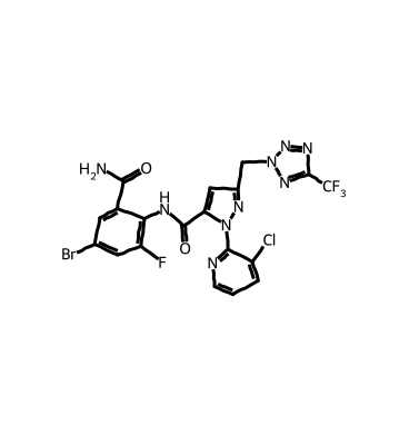 NC(=O)c1cc(Br)cc(F)c1NC(=O)c1cc(Cn2nnc(C(F)(F)F)n2)nn1-c1ncccc1Cl